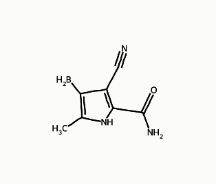 Bc1c(C)[nH]c(C(N)=O)c1C#N